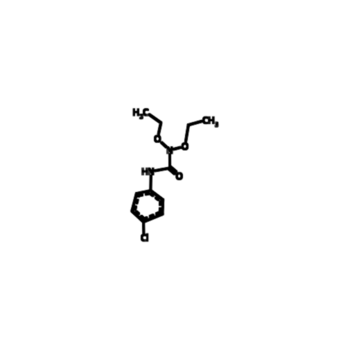 CCON(OCC)C(=O)Nc1ccc(Cl)cc1